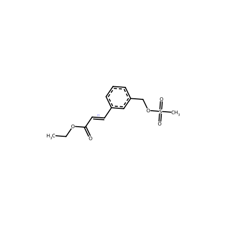 CCOC(=O)/C=C/c1cccc(COS(C)(=O)=O)c1